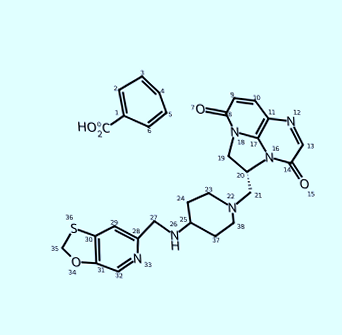 O=C(O)c1ccccc1.O=c1ccc2ncc(=O)n3c2n1C[C@H]3CN1CCC(NCc2cc3c(cn2)OCS3)CC1